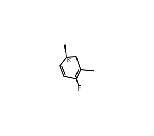 CC1=C(F)C=C[C@@H](C)C1